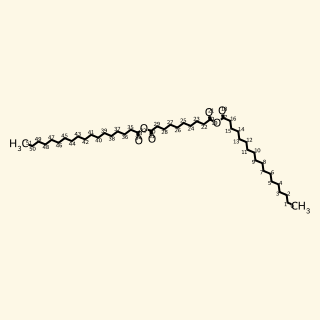 CCCCCCCCCCCCCCCCCC(=O)OC(=O)CCCCCCCCC(=O)OC(=O)CCCCCCCCCCCCCCCCC